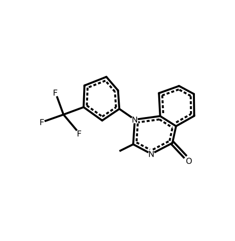 Cc1nc(=O)c2ccccc2n1-c1cccc(C(F)(F)F)c1